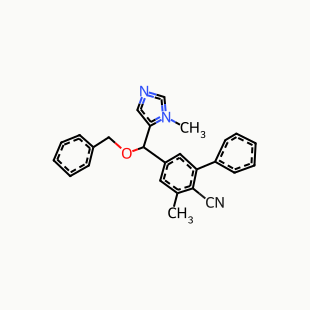 Cc1cc(C(OCc2ccccc2)c2cncn2C)cc(-c2ccccc2)c1C#N